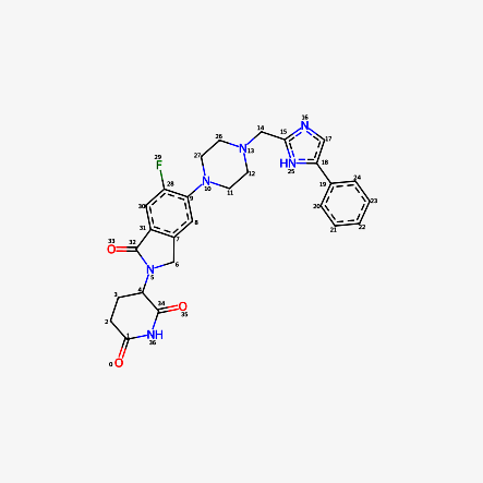 O=C1CCC(N2Cc3cc(N4CCN(Cc5ncc(-c6ccccc6)[nH]5)CC4)c(F)cc3C2=O)C(=O)N1